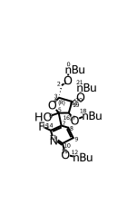 CCCCOC[C@H]1OC(O)(c2ccc(OCCCC)nc2F)C(OCCCC)[C@H]1OCCCC